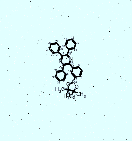 CC1(C)OB(c2cccc(-c3nc(-c4ccccc4)c(-c4ccccc4)nc3-c3ccccc3)c2)OC1(C)C